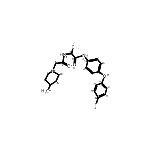 CC1CCN(CC(=O)NC(C)C(=O)Nc2ccc(Oc3ccc(F)cc3)cc2)CC1